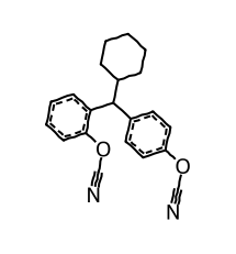 N#COc1ccc(C(c2ccccc2OC#N)C2CCCCC2)cc1